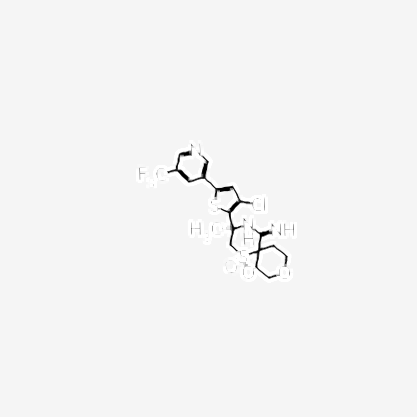 C[C@@]1(c2sc(-c3cncc(C(F)(F)F)c3)cc2Cl)CS(=O)(=O)C2(CCOCC2)C(=N)N1